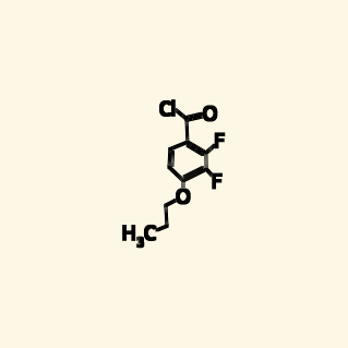 CCCOc1ccc(C(=O)Cl)c(F)c1F